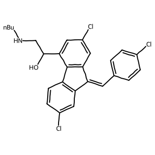 CCCCNCC(O)c1cc(Cl)cc2c1-c1ccc(Cl)cc1/C2=C/c1ccc(Cl)cc1